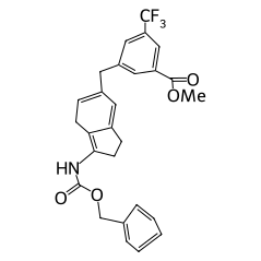 COC(=O)c1cc(CC2=CCC3=C(NC(=O)OCc4ccccc4)CCC3=C2)cc(C(F)(F)F)c1